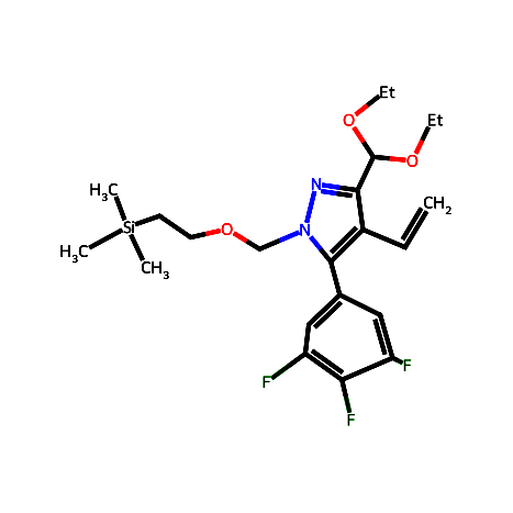 C=Cc1c(C(OCC)OCC)nn(COCC[Si](C)(C)C)c1-c1cc(F)c(F)c(F)c1